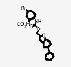 O=C(Nc1ccc(Br)cc1C(=O)O)OCc1cc2cc(-c3ccccc3)ccc2o1